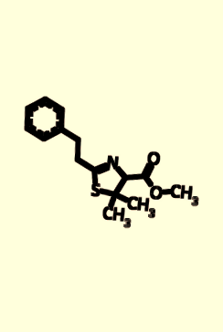 COC(=O)C1N=C(CCc2ccccc2)SC1(C)C